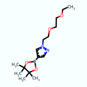 CCOCCOCCn1cc(B2OC(C)(C)C(C)(C)O2)cn1